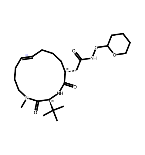 CN1CCC/C=C/CCC[C@H](CC(=O)NOC2CCCCO2)C(=O)N[C@@H](C(C)(C)C)C1=O